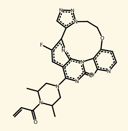 C=CC(=O)N1C(C)CN(c2nc(=O)n3c4nc(c(F)cc24)-c2cnnn2CCOc2ccnc(C(C)C)c2-3)CC1C